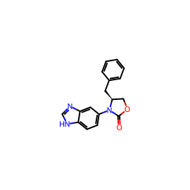 O=C1OC[C@H](Cc2ccccc2)N1c1ccc2[nH]cnc2c1